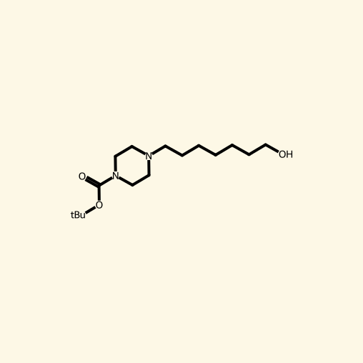 CC(C)(C)OC(=O)N1CCN(CCCCCCCO)CC1